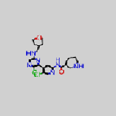 O=C(Nc1cc(-c2nc(NCC3CCOCC3)cnc2Cl)c(Cl)cn1)C1CCCCNC1